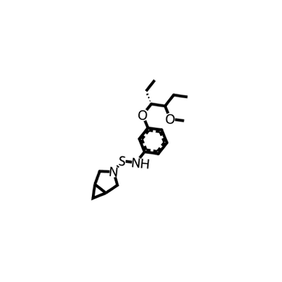 CCC(OC)[C@@H](CC)Oc1cccc(NSN2CC3CC3C2)c1